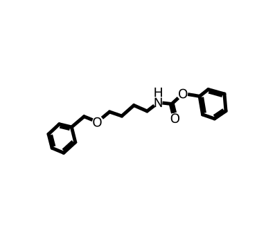 O=C(NCCCCOCc1ccccc1)Oc1ccccc1